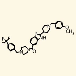 COc1ccc(CN2CCC(c3nc4ccc(C(=O)N5CCN(Cc6ccc(C(F)(F)F)cc6)CC5)cc4[nH]3)CC2)cc1